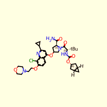 CC(C)(C)[C@H](NC(=O)O[C@@H]1C[C@@H]2C[C@@H]2C1)C(=O)N1CC(Oc2cc(C3CC3)nc3c(Cl)c(OCCN4CCOCC4)ccc23)C[C@H]1C(N)=O